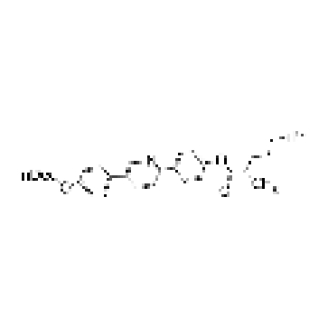 CCCCCCCCCCOc1ccc(-c2ccc(-c3ccc(OC(=O)[C@@H](C)CCCC(C)C)cc3)nc2)cc1